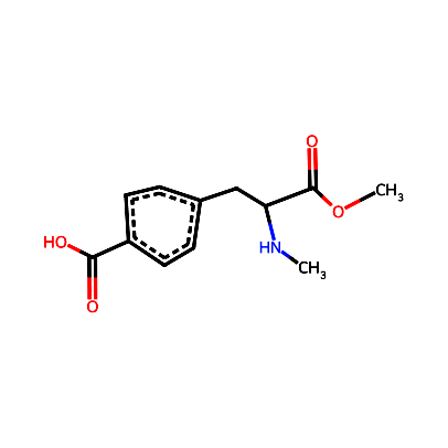 CNC(Cc1ccc(C(=O)O)cc1)C(=O)OC